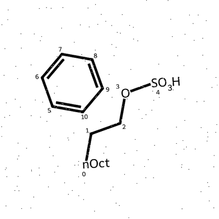 CCCCCCCCCCOS(=O)(=O)O.c1ccccc1